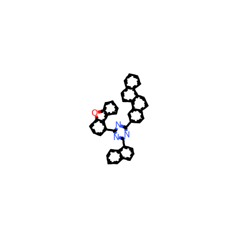 c1ccc2c(-c3nc(-c4ccc5ccc6c7ccccc7ccc6c5c4)nc(-c4cccc5oc6ccccc6c45)n3)cccc2c1